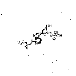 O=C(O)CC1(CSc2ncnc3c2ncn3[C@H]2C[C@@H](O)[C@@H](COP(=O)(O)O)O2)CC1